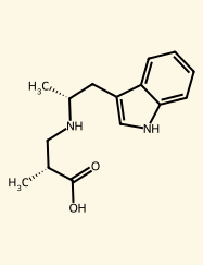 C[C@H](Cc1c[nH]c2ccccc12)NC[C@@H](C)C(=O)O